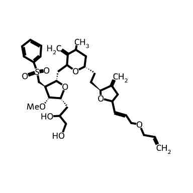 C=CCOC/C=C/C1CC(=C)[C@H](CC[C@H]2CC(C)C(=C)C(C[C@@H]3O[C@H](CC(O)CO)[C@H](OC)[C@H]3CS(=O)(=O)c3ccccc3)O2)O1